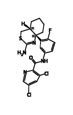 NC1=N[C@@]2(c3cc(NC(=O)c4ncc(Cl)cc4Cl)ccc3F)CCCC[C@H]2CS1